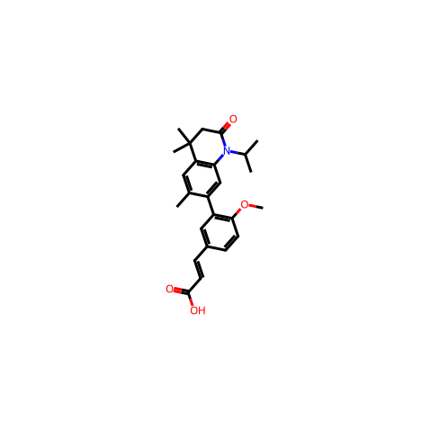 COc1ccc(/C=C/C(=O)O)cc1-c1cc2c(cc1C)C(C)(C)CC(=O)N2C(C)C